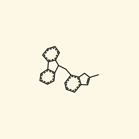 CC1=Cc2cccc(CC3c4ccccc4-c4ccccc43)c2C1